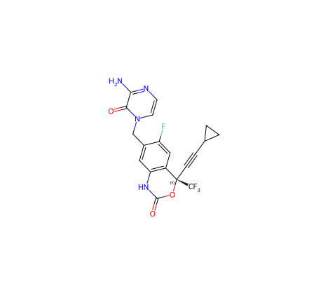 Nc1nccn(Cc2cc3c(cc2F)[C@@](C#CC2CC2)(C(F)(F)F)OC(=O)N3)c1=O